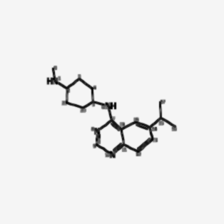 CNC1CCC(Nc2ncnc3ccc(C(C)C)cc23)CC1